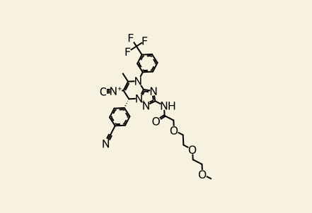 [C-]#[N+]C1=C(C)N(c2cccc(C(F)(F)F)c2)c2nc(NC(=O)COCCOCCOC)nn2[C@@H]1c1ccc(C#N)cc1